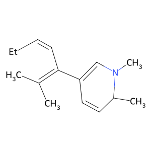 CC/C=C\C(C1=CN(C)C(C)C=C1)=C(C)C